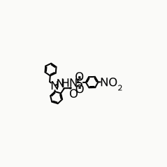 O=C(NS(=O)(=O)c1ccc([N+](=O)[O-])cc1)c1nn(Cc2ccccc2)c2ccccc12